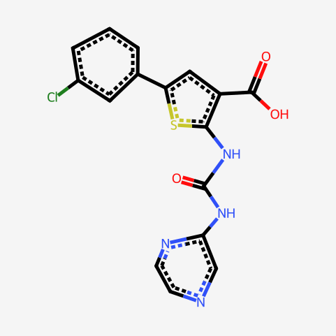 O=C(Nc1cnccn1)Nc1sc(-c2cccc(Cl)c2)cc1C(=O)O